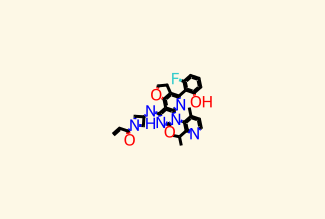 C=CC(=O)N1CC(Nc2nc(=O)n(-c3c(C)ccnc3C(C)C)c3nc(-c4c(O)cccc4F)c4c(c23)OCC4)C1